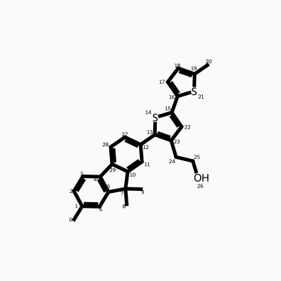 Cc1ccc2c(c1)C(C)(C)c1cc(-c3sc(-c4ccc(C)s4)cc3CCO)ccc1-2